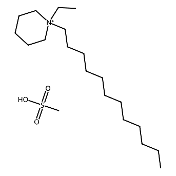 CCCCCCCCCCCC[N+]1(CC)CCCCC1.CS(=O)(=O)O